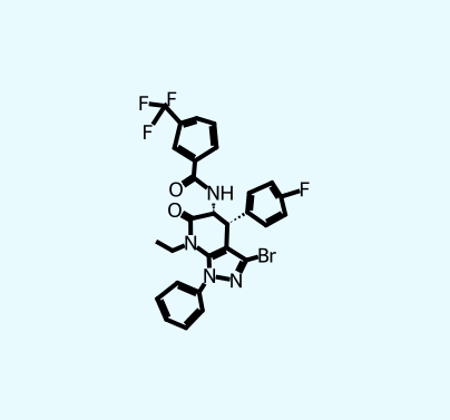 CCN1C(=O)[C@H](NC(=O)c2cccc(C(F)(F)F)c2)[C@H](c2ccc(F)cc2)c2c(Br)nn(-c3ccccc3)c21